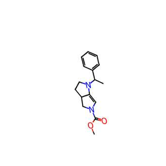 COC(=O)N1C=C2C(CCN2C(C)c2ccccc2)C1